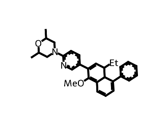 CCC1C=C(c2ccc(N3CC(C)OC(C)C3)nc2)C(OC)=C2C=CC=C(c3ccccc3)C21